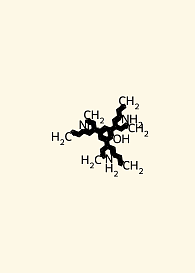 C=CCC(N)=CC(CC=C)c1cc(C(C=C(N)CC=C)CC=C)c(O)c(C(C=C(N)CC=C)CC=C)c1